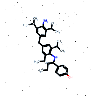 CCCC(Nc1c(C(C)C)cc(Cc2cc(C(C)C)c(N)c(C(C)C)c2)cc1C(C)C)c1ccc(O)cc1